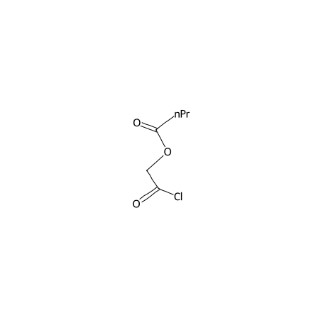 CCCC(=O)OCC(=O)Cl